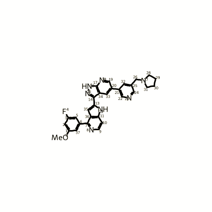 COc1cc(F)cc(-c2nccc3[nH]c(-c4n[nH]c5ncc(-c6cncc(CN7CCCC7)c6)cc45)cc23)c1